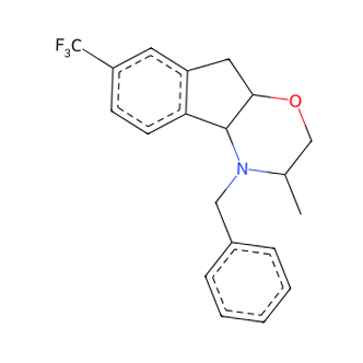 CC1COC2Cc3cc(C(F)(F)F)ccc3C2N1Cc1ccccc1